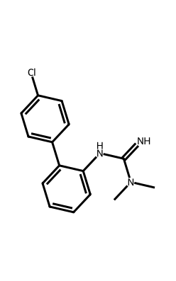 CN(C)C(=N)Nc1ccccc1-c1ccc(Cl)cc1